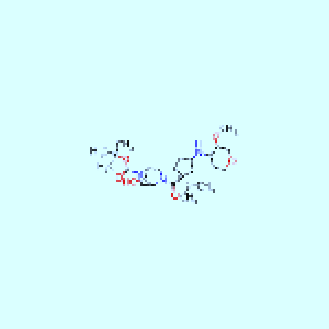 COC1COCCC1NC1CC[C@@](C(=O)N2CC3C(O)C2CN3C(=O)OC(C)(C)C)(C(C)C)C1